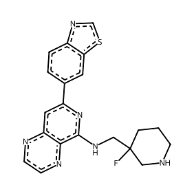 FC1(CNc2nc(-c3ccc4ncsc4c3)cc3nccnc23)CCCNC1